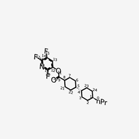 CCC[C@H]1CC[C@H](C2CCC(C(=O)Oc3cc(F)c(F)nc3F)CC2)CC1